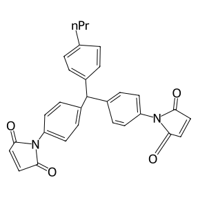 CCCc1ccc(C(c2ccc(N3C(=O)C=CC3=O)cc2)c2ccc(N3C(=O)C=CC3=O)cc2)cc1